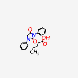 CCCCC(=O)O.O=C1CN(c2ccccc2)C(=O)N1c1ccccc1